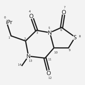 CC(C)CC1C(=O)N2C(=O)SCC2C(=O)N1C